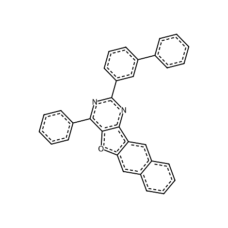 c1ccc(-c2cccc(-c3nc(-c4ccccc4)c4oc5cc6ccccc6cc5c4n3)c2)cc1